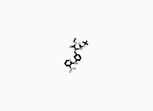 CCOC(=O)[C@H](Cc1cccc(Nc2ncccc2[N+](=O)[O-])c1)NC(=O)OC(C)(C)C